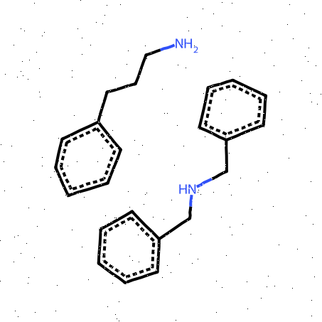 NCCCc1ccccc1.c1ccc(CNCc2ccccc2)cc1